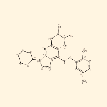 CCC(Nc1nc(NCc2cc([N+](=O)[O-])ccc2O)c2ncn(C3CCCCC3)c2n1)C(C)O